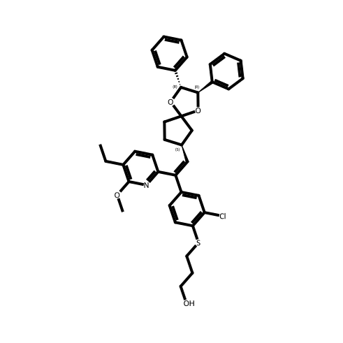 CCc1ccc(C(=C[C@H]2CCC3(C2)O[C@H](c2ccccc2)[C@@H](c2ccccc2)O3)c2ccc(SCCCO)c(Cl)c2)nc1OC